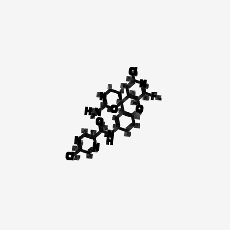 NC1=NCC[C@]2(O1)c1cc(NC(=O)c3cnc(Cl)cn3)ccc1Oc1c2cc(Cl)nc1F